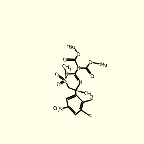 CN1C(N(C(=O)OC(C)(C)C)C(=O)OC(C)(C)C)=N[C@](C)(c2cc([N+](=O)[O-])cc(F)c2F)CS1(=O)=O